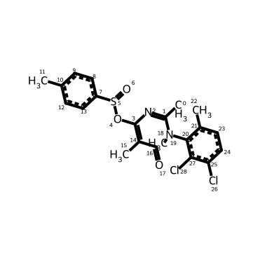 C/C(=N/C(OS(=O)c1ccc(C)cc1)=C(/C)C=O)N(C)c1c(C)ccc(Cl)c1Cl